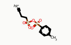 C#CCCS(=O)(=O)OS(=O)(=O)c1ccc(C)cc1